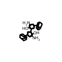 Nc1cc(C23CC4CC(CC(C4)C2)C3)cc(-c2cc(C34CC5CC(CC(C5)C3)C4)cc(N)c2O)c1O